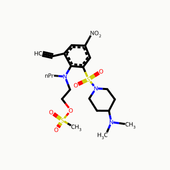 C#Cc1cc([N+](=O)[O-])cc(S(=O)(=O)N2CCC(N(C)C)CC2)c1N(CCC)CCOS(C)(=O)=O